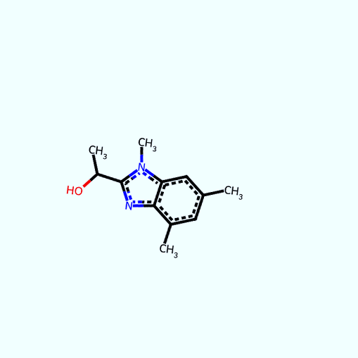 Cc1cc(C)c2nc(C(C)O)n(C)c2c1